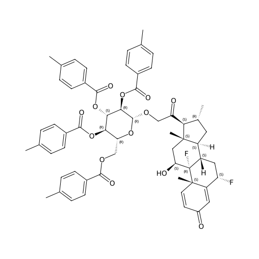 Cc1ccc(C(=O)OC[C@H]2O[C@@H](OCC(=O)[C@H]3[C@H](C)C[C@H]4[C@@H]5C[C@H](F)C6=CC(=O)C=C[C@]6(C)[C@@]5(F)[C@@H](O)C[C@@]43C)[C@H](OC(=O)c3ccc(C)cc3)[C@@H](OC(=O)c3ccc(C)cc3)[C@@H]2OC(=O)c2ccc(C)cc2)cc1